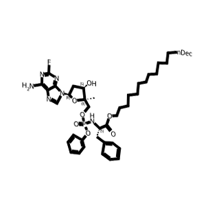 CCCCCCCCCCCCCCCCCCCCCCOC(=O)[C@H](Cc1ccccc1)NP(=O)(OC[C@@]1(C)O[C@@H](n2cnc3c(N)nc(F)nc32)C[C@@H]1O)Oc1ccccc1